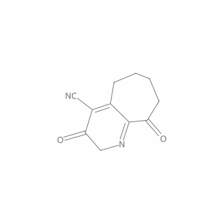 N#CC1=C2CCCCC(=O)C2=NCC1=O